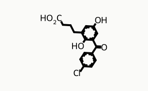 O=C(O)CCCc1cc(O)cc(C(=O)c2ccc(Cl)cc2)c1O